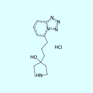 Cl.OC1(CCCc2cccc3nnnn23)CCNCC1